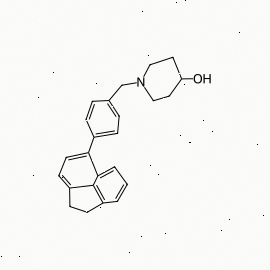 OC1CCN(Cc2ccc(-c3ccc4c5c(cccc35)CC4)cc2)CC1